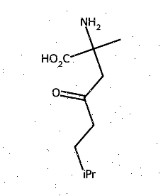 CC(C)CCC(=O)CC(C)(N)C(=O)O